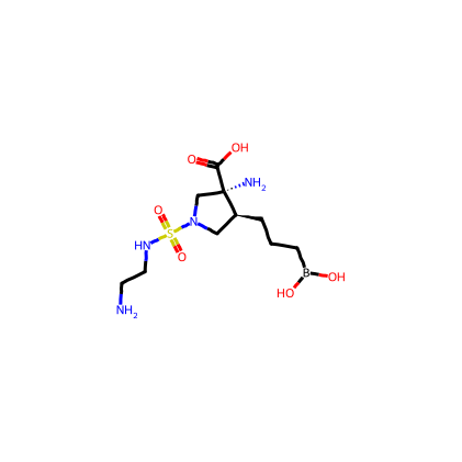 NCCNS(=O)(=O)N1C[C@H](CCCB(O)O)[C@](N)(C(=O)O)C1